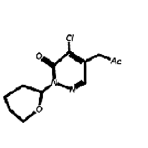 CC(=O)Cc1cnn(C2CCCCO2)c(=O)c1Cl